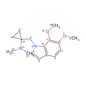 COc1ccc2ccn(CC3(N(C)C)CC3)c2c1OC